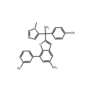 Cn1cncc1C(N)(c1ccc(C#N)cc1)c1cc2cc([N+](=O)[O-])cc(-c3cccc(C#N)c3)c2o1